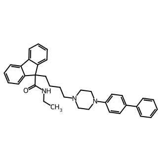 CCNC(=O)C1(CCCCN2CCN(c3ccc(-c4ccccc4)cc3)CC2)c2ccccc2-c2ccccc21